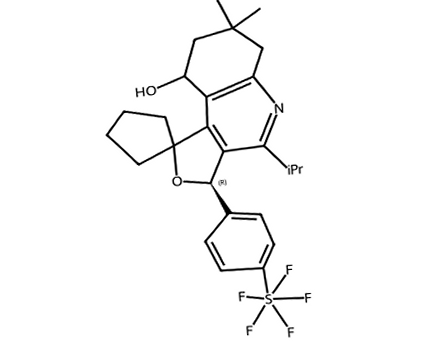 CC(C)c1nc2c(c3c1[C@@H](c1ccc(S(F)(F)(F)(F)F)cc1)OC31CCCC1)C(O)CC(C)(C)C2